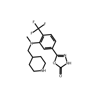 CN(CC1CCNCC1)c1cc(-c2n[nH]c(=O)o2)ccc1C(F)(F)F